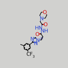 Cc1cc(-c2ncn(/C=C\C(=O)NNC(=O)CN3CCOCC3)n2)cc(C(F)(F)F)c1